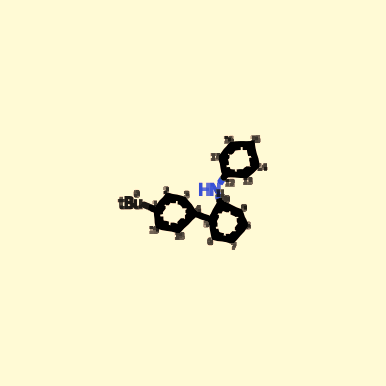 CC(C)(C)c1ccc(-c2ccccc2Nc2ccccc2)cc1